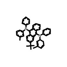 CC1=CC(N(c2ccccc2)c2c3ccccc3c(N(c3ccccc3)c3cccc(C)c3)c3ccc(C(C)(C)C)cc23)CC=C1